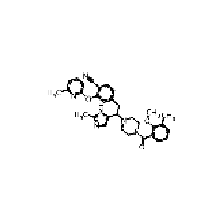 COc1c(C)cccc1C(=O)N1CCN(C(Cc2ccc(C#N)c(Oc3cccc(C)n3)c2)c2cnc(C)[nH]2)CC1